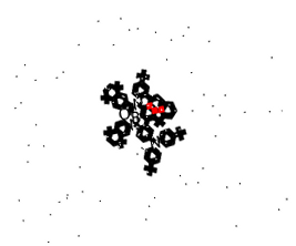 CC(C)(C)c1ccc(N(c2ccc(C(C)(C)C)cc2)c2ccc3c(c2)-c2c4c(cc5c2C(C)(C)c2ccccc2-5)N(c2ccc(C(C)(C)C)cc2-c2ccccc2)c2c(oc5cc6c(cc25)C(C)(C)CCC6(C)C)B4N3c2ccc3c(c2)C(C)(C)CCC3(C)C)cc1